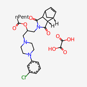 CCCCCC(=O)OC(CN1CCN(c2cccc(Cl)c2)CC1)CN1C(=O)C2C3C=C[C@@H](C3)[C@@H]2C1=O.O=C(O)C(=O)O